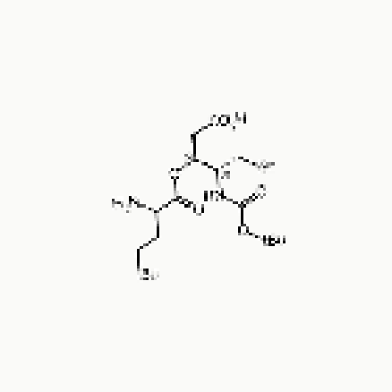 CCC(C)CCC(N)C(=O)O[C@@H](CC(=O)O)[C@H](CC(C)C)NC(=O)OC(C)(C)C